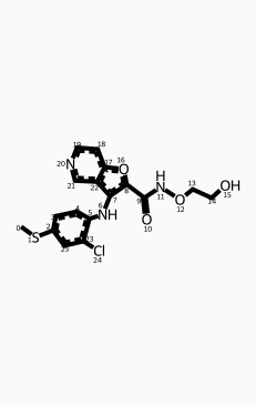 CSc1ccc(Nc2c(C(=O)NOCCO)oc3ccncc23)c(Cl)c1